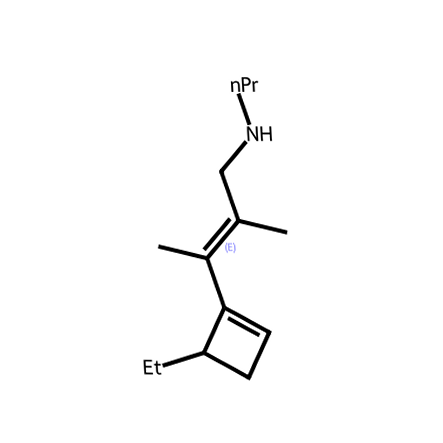 CCCNC/C(C)=C(\C)C1=CCC1CC